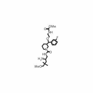 COCC(C)(C)CC(N)CNC(=O)N1CCCC(C(OCCNC(=O)OC)c2cccc(F)c2)C1